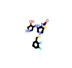 O=c1nc2c(NC3CNCC3O)cn(SCc3cccc(F)c3F)cc-2s1